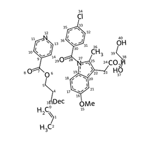 C=CC.CCCCCCCCCCCCOC(=O)c1ccncc1.COc1ccc2c(c1)c(CC(=O)O)c(C)n2C(=O)c1ccc(Cl)cc1.OCCO